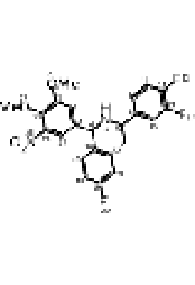 COc1cc(C(NC(C)c2ccc(F)c(F)c2)c2ccc(F)cc2)cc([N+](=O)[O-])c1OC